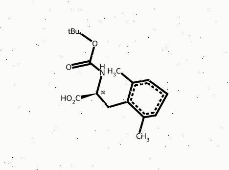 Cc1cccc(C)c1C[C@H](NC(=O)OC(C)(C)C)C(=O)O